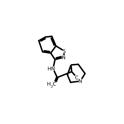 C=C(Nc1nsc2ccccc12)C1CN2CCC1CC2